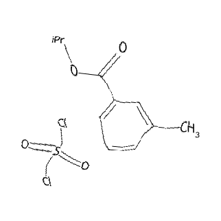 Cc1cccc(C(=O)OC(C)C)c1.O=S(=O)(Cl)Cl